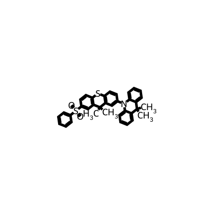 CC1(C)c2cc(N3c4ccccc4C(C)(C)c4ccccc43)ccc2Sc2ccc(S(=O)(=O)c3ccccc3)cc21